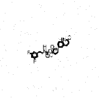 O=C1CCc2cc(N3CC[C@](O)(OC(=O)NCCc4cc(F)cc(F)c4)C3=O)ccc2N1